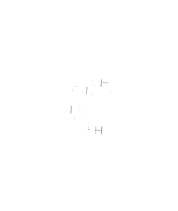 C.O.O.[KH]